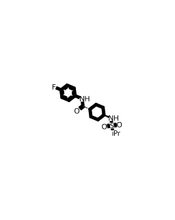 CC(C)S(=O)(=O)N[C@H]1CC[C@H](C(=O)Nc2ccc(F)cc2)CC1